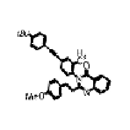 COc1ccc(C=Cc2nc3ccccc3c(=O)n2-c2ccc(C#Cc3ccc(C(C)(C)C)cc3)cc2C)cc1